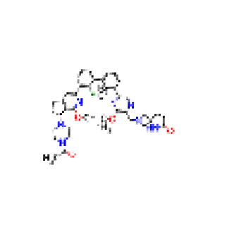 COc1nc(-c2cccc(-c3cccc(-c4cc5c(c(OC)n4)C(N4CCN(C(C)=O)CC4)CC5)c3F)c2C)cnc1CN1CC2(CCC(=O)N2)C1